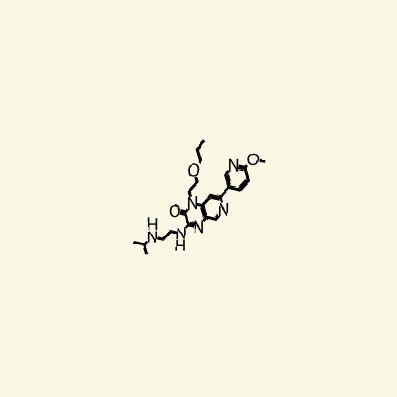 CCCOCCn1c(=O)c(NCCNC(C)C)nc2cnc(-c3ccc(OC)nc3)cc21